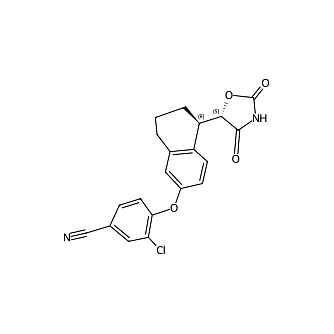 N#Cc1ccc(Oc2ccc3c(c2)CCC[C@H]3[C@@H]2OC(=O)NC2=O)c(Cl)c1